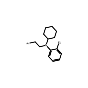 CCc1ccccc1N(CCC(C)=O)C1CCCCC1